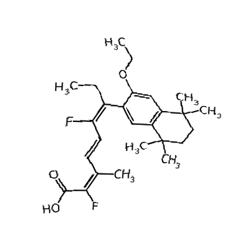 CCOc1cc2c(cc1\C(CC)=C(F)/C=C/C(C)=C(/F)C(=O)O)C(C)(C)CCC2(C)C